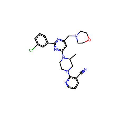 CC1CN(c2ncccc2C#N)CCN1c1cc(CN2CCOCC2)nc(-c2cccc(Cl)c2)n1